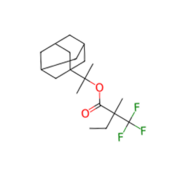 CCC(C)(C(=O)OC(C)(C)C12CC3CC(CC(C3)C1)C2)C(F)(F)F